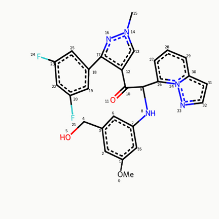 COc1cc(CO)cc(NC(C(=O)c2cn(C)nc2-c2cc(F)cc(F)c2)c2cccc3ccnn23)c1